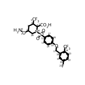 NOC1CC(C(F)(F)F)C(C(=O)O)N(S(=O)(=O)c2ccc(OCc3cc(F)ccc3C(F)(F)F)cc2)C1